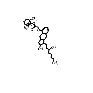 CCCCCC(O)CCC1C(O)CC2Cc3c(cccc3OCC(=O)OC3CC4CCC3(C)C4(C)C)CC21